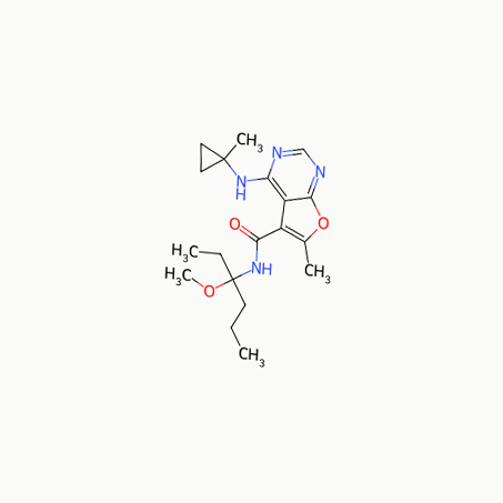 CCCC(CC)(NC(=O)c1c(C)oc2ncnc(NC3(C)CC3)c12)OC